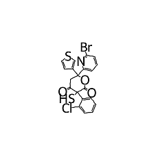 O=C1CC(c2ccsc2)(c2cccc(Br)n2)OC(=O)C1(S)c1ccccc1Cl